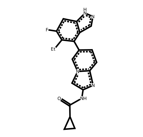 CCc1c(F)cc2[nH]ncc2c1-c1ccc2nc(NC(=O)C3CC3)cn2c1